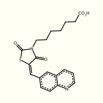 O=C(O)CCCCCCN1C(=O)SC(=Cc2ccc3ncccc3c2)C1=O